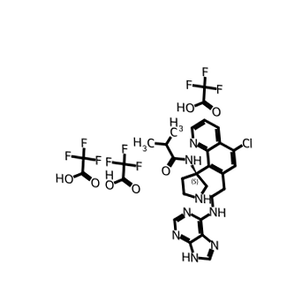 CC(C)C(=O)N[C@]1(c2c(CCNc3ncnc4[nH]cnc34)cc(Cl)c3cccnc23)CCNC1.O=C(O)C(F)(F)F.O=C(O)C(F)(F)F.O=C(O)C(F)(F)F